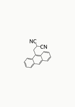 N#CC(C#N)Cc1c2ccccc2cc2ccccc12